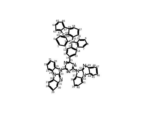 c1ccc([Si](c2ccccc2)(c2ccc(-c3nc(-n4c5ccccc5n5c6ccccc6nc45)nc(-n4c5ccccc5n5c6ccccc6nc45)n3)cc2)c2cccc3c2sc2ccccc23)cc1